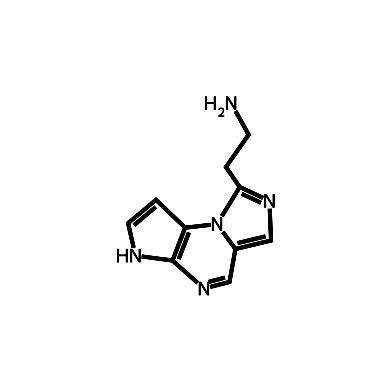 NCCc1ncc2cnc3[nH]ccc3n12